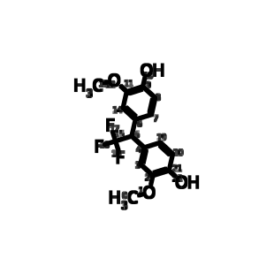 COc1cc(C(c2ccc(O)c(OC)c2)C(F)(F)F)ccc1O